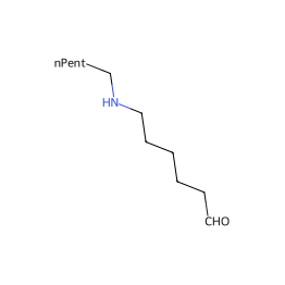 CCCCCCNCCCCCC=O